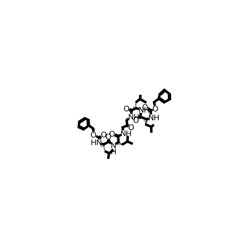 CC(C)C[C@H](NC(=O)OCc1ccccc1)C(=O)N[C@@H](CC(C)C)C(=O)NCC(=O)CNC(=O)[C@H](CC(C)C)NC(=O)[C@H](CC(C)C)NC(=O)OCc1ccccc1